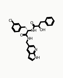 O=C(N[C@@H](Cc1cccc(Cl)c1)C(=O)NCc1cnc2[nH]ccc2c1)C(O)Cc1ccccc1